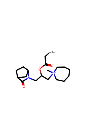 CCCCCCCCCCCC(=O)OC(CN1C(=O)C2CCC1C2)C[N+]1(C)CCCCCC1